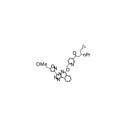 CCCC(CC(=O)c1ccc(COc2nn3c(-c4cc(COC)on4)nnc3c3ccccc23)nc1)CC1CC1